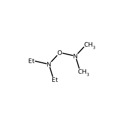 CCN(CC)ON(C)C